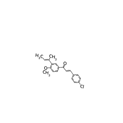 CC=C(C)c1cc(C(=O)C=Cc2ccc(Cl)cc2)ccc1OC